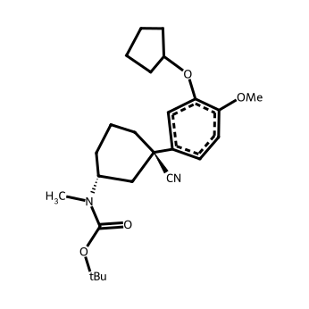 COc1ccc([C@@]2(C#N)CCC[C@@H](N(C)C(=O)OC(C)(C)C)C2)cc1OC1CCCC1